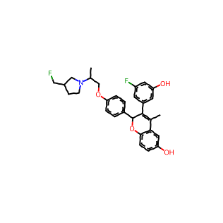 CC1=C(c2cc(O)cc(F)c2)C(c2ccc(OCC(C)N3CCC(CF)C3)cc2)Oc2ccc(O)cc21